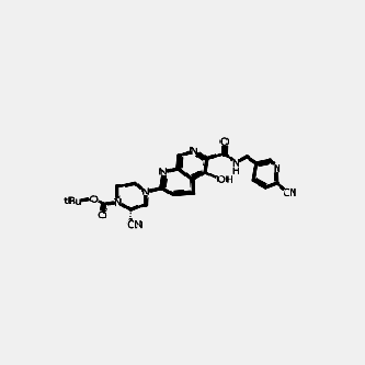 CC(C)(C)OC(=O)N1CCN(c2ccc3c(O)c(C(=O)NCc4ccc(C#N)nc4)ncc3n2)C[C@@H]1C#N